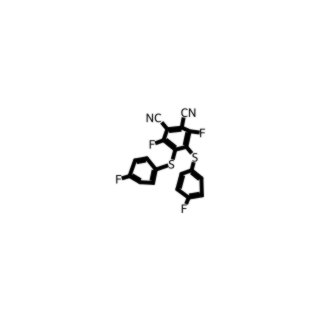 N#Cc1c(F)c(Sc2ccc(F)cc2)c(Sc2ccc(F)cc2)c(F)c1C#N